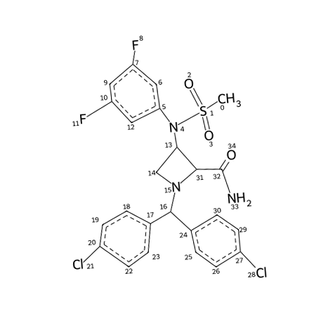 CS(=O)(=O)N(c1cc(F)cc(F)c1)C1CN(C(c2ccc(Cl)cc2)c2ccc(Cl)cc2)C1C(N)=O